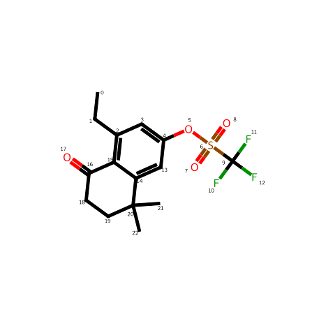 CCc1cc(OS(=O)(=O)C(F)(F)F)cc2c1C(=O)CCC2(C)C